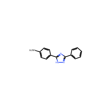 CC(=O)Nc1ccc(-c2nc(-c3ccccc3)n[nH]2)cc1